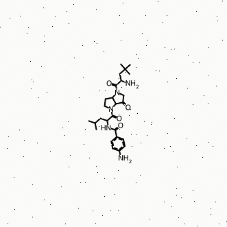 CC(C)CC(NC(=O)c1ccc(N)cc1)C(=O)N1CCC2C1C(=O)CN2C(=O)C(N)CC(C)(C)C